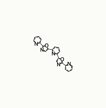 c1ccc(-c2ncc(-c3cccc(-c4cnc(-c5ccccn5)o4)n3)o2)nc1